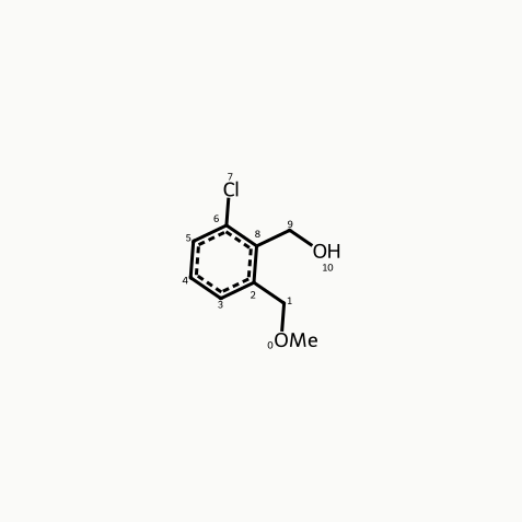 COCc1cccc(Cl)c1CO